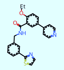 CCOc1ccc(-c2ccncc2)cc1C(=O)NCc1cccc(-c2nccs2)c1